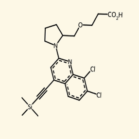 C[Si](C)(C)C#Cc1cc(N2CCCC2COCCC(=O)O)nc2c(Cl)c(Cl)ccc12